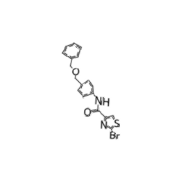 O=C(Nc1ccc(COCc2ccccc2)cc1)c1csc(Br)n1